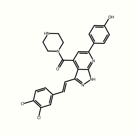 O=C(c1cc(-c2ccc(O)cc2)nc2[nH]nc(C=Cc3ccc(Cl)c(Cl)c3)c12)N1CCNCC1